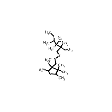 CCC(C)C(C)(C)C(N)(CC)CSSCC1(CC)C(N)CC(C)C1(C)C